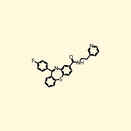 O=C(NCCc1cccnc1)c1ccc2c(c1)N=C(c1ccc(F)cc1)c1ccccc1S2